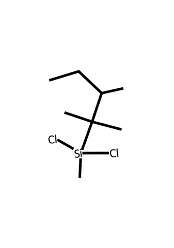 CCC(C)C(C)(C)[Si](C)(Cl)Cl